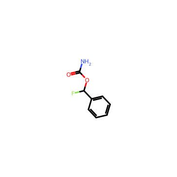 NC(=O)OC(F)c1ccccc1